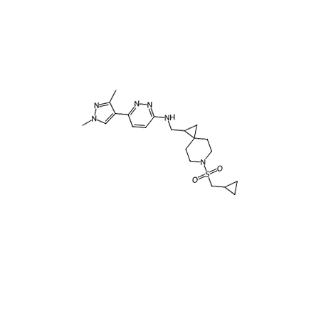 Cc1nn(C)cc1-c1ccc(NCC2CC23CCN(S(=O)(=O)CC2CC2)CC3)nn1